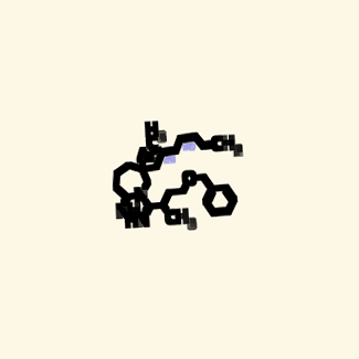 C=C/C=C\C=C(/C)CC1(C(C)=O)CCCC(=N)N(C(=N)C(C)CCOCc2ccccc2)C1